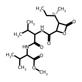 CC[C@H](C)C1C(=O)OC1C(=O)NC(C(=O)NC(C(=O)OC)C(C)C)C(C)C